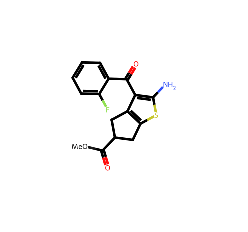 COC(=O)C1Cc2sc(N)c(C(=O)c3ccccc3F)c2C1